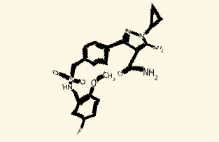 COc1ccc(F)cc1NS(=O)(=O)Cc1ccc(-c2nn(C3CC3)c(N)c2C(N)=O)cc1